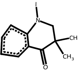 CC1(C)CN(I)c2ccccc2C1=O